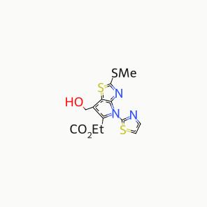 CCOC(=O)c1c(CO)c2sc(SC)nc2n1-c1nccs1